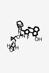 C#Cc1cccc2cc(O)cc(-c3ccc4c(N5CC6CCC(C5)N6)nc(OCC5(CN6C[C@H]7COC[C@@H]7C6)CC5)nc4c3F)c12